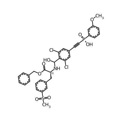 COc1cccc(P(=O)(O)C#Cc2cc(Cl)c(C(O)N[C@@H](Cc3cccc(S(C)(=O)=O)c3)C(=O)OCc3ccccc3)c(Cl)c2)c1